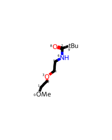 COCCOCCNC(=O)C(C)(C)C